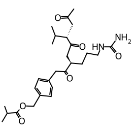 CC(=O)C[C@H](C(=O)C[C@@H](CCCNC(N)=O)C(=O)Cc1ccc(COC(=O)C(C)C)cc1)C(C)C